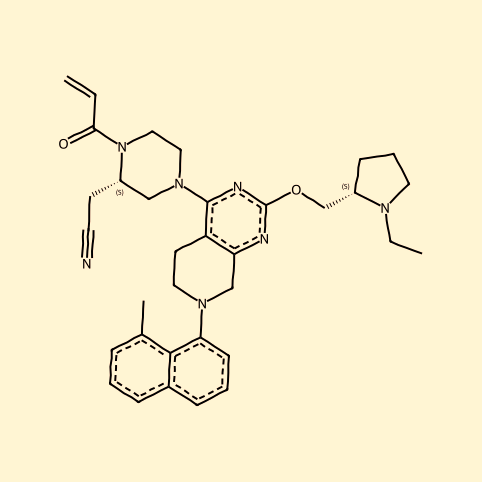 C=CC(=O)N1CCN(c2nc(OC[C@@H]3CCCN3CC)nc3c2CCN(c2cccc4cccc(C)c24)C3)C[C@@H]1CC#N